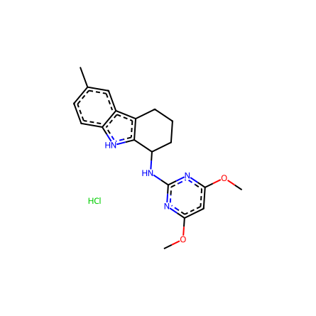 COc1cc(OC)nc(NC2CCCc3c2[nH]c2ccc(C)cc32)n1.Cl